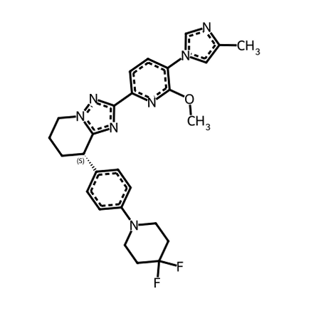 COc1nc(-c2nc3n(n2)CCC[C@H]3c2ccc(N3CCC(F)(F)CC3)cc2)ccc1-n1cnc(C)c1